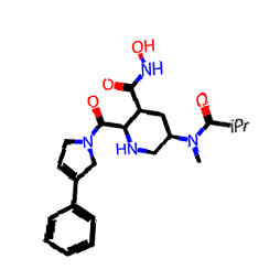 CC(C)C(=O)N(C)C1CNC(C(=O)N2CC=C(c3ccccc3)C2)C(C(=O)NO)C1